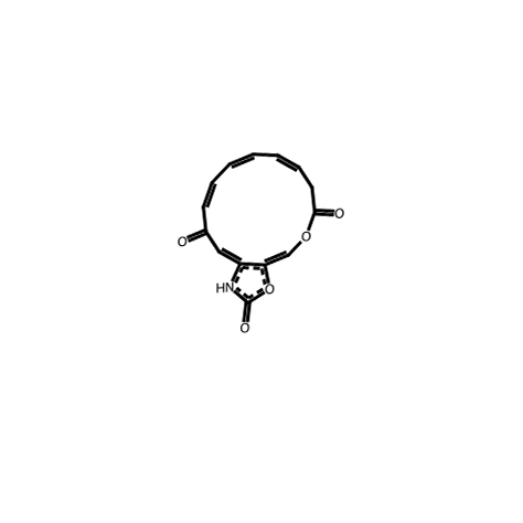 O=C1C=CC=CC=CCC(=O)OC=c2oc(=O)[nH]c2=C1